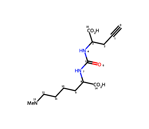 C#CCC(NC(=O)NC(CCCCNC)C(=O)O)C(=O)O